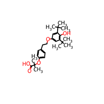 CC(C)(Oc1ccc(CCOc2cc(C(C)(C)C)c(O)c(C(C)(C)C)c2)cc1)C(=O)O